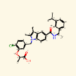 Cc1c(C)n(Cc2ccc(Cl)c(OC(C)C(=O)O)c2)c2ccc(C(=O)N[C@@H](C)c3cccc(C(C)C)c3)cc12